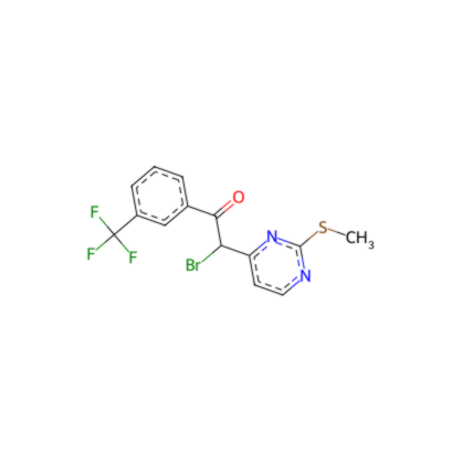 CSc1nccc(C(Br)C(=O)c2cccc(C(F)(F)F)c2)n1